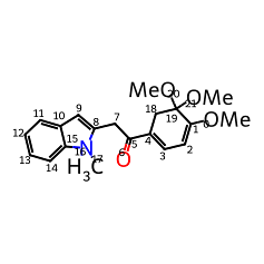 COC1=CC=C(C(=O)Cc2cc3ccccc3n2C)CC1(OC)OC